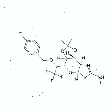 CNC1=N[C@@H]2[C@H]3OC(C)(C)O[C@@H]3[C@@H]([C@@H](OCc3ccc(F)cc3)C(F)(F)F)O[C@@H]2S1